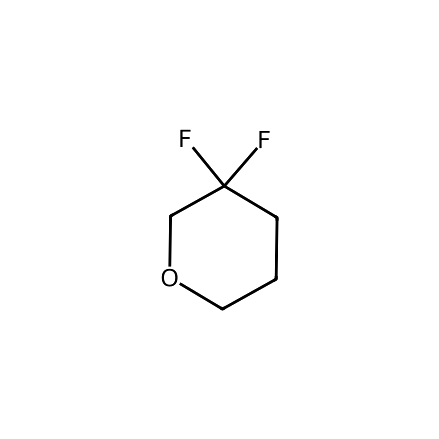 FC1(F)CCCOC1